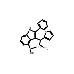 OB(O)c1cccc2[nH]c(-c3ccccc3)c(C(CC(F)(F)F)c3cccs3)c12